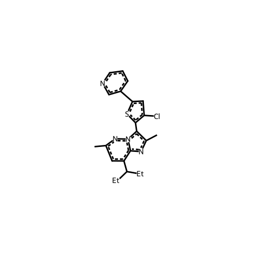 CCC(CC)c1cc(C)nn2c(-c3sc(-c4cccnc4)cc3Cl)c(C)nc12